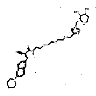 N#C/C(=C\c1ccc2cc(N3CCCCC3)ccc2c1)C(=O)NCCOCCOCCOCc1cn(C[C@H]2OCC[C@@H](O)[C@@H]2O)nn1